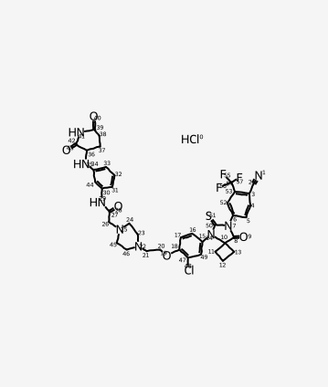 Cl.N#Cc1ccc(N2C(=O)C3(CCC3)N(c3ccc(OCCN4CCN(CC(=O)Nc5cccc(NC6CCC(=O)NC6=O)c5)CC4)c(Cl)c3)C2=S)cc1C(F)(F)F